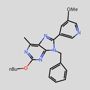 CCCCOc1nc(C)c2nc(-c3cncc(OC)c3)n(Cc3ccccc3)c2n1